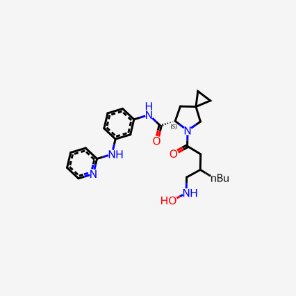 CCCCC(CNO)CC(=O)N1CC2(CC2)C[C@H]1C(=O)Nc1cccc(Nc2ccccn2)c1